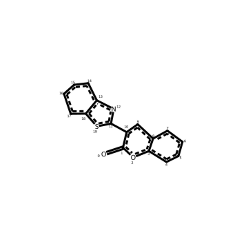 O=c1oc2c[c]ccc2cc1-c1nc2ccccc2s1